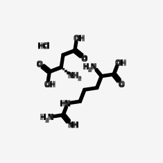 Cl.N=C(N)NCCCC(N)C(=O)O.N[C@@H](CC(=O)O)C(=O)O